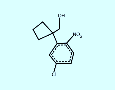 O=[N+]([O-])c1ccc(Cl)cc1C1(CO)CCC1